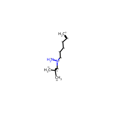 C=CCCCCN(N)C=C(C)C